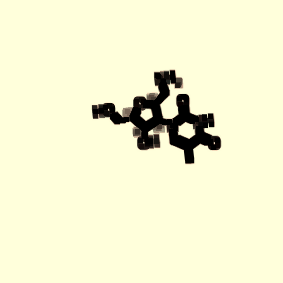 Cc1cn([C@@H]2[C@@H](O)[C@H](CO)O[C@H]2CN)c(=O)[nH]c1=O